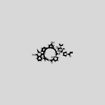 C=CC(=O)N1CC[C@H](C(=O)N(C)[C@H](C(=O)N[C@H]2Cc3cc(O)cc(c3)-c3ccc4c(c3)c(c(-c3ccccc3CO)n4CC)CC(C)(C)COC(=O)[C@@H]3CCCN(N3)C2=O)C(C)C)C1